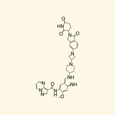 COC1=CC(=N)/C(=C\NC2CCN(C3CN(c4ccc5c(c4)CN(C4CCC(=O)NC4=O)C5=O)C3)CC2)C=C1NC(=O)c1cnn2cccnc12